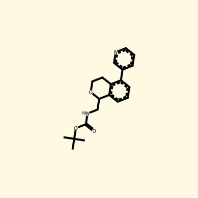 CC(C)(C)OC(=O)NCC1OCCc2c(-c3cccnc3)cccc21